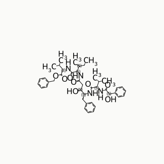 CC[C@H](C)[C@H](NC(=O)C[C@H](O)[C@H](Cc1ccccc1)NC(=O)[C@@H](NC(=O)[C@@H](O)c1ccccc1)C(C)C)C(=O)N[C@H](C(=O)OCc1ccccc1)C(C)C